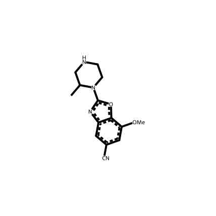 COc1cc(C#N)cc2nc(N3CCNCC3C)oc12